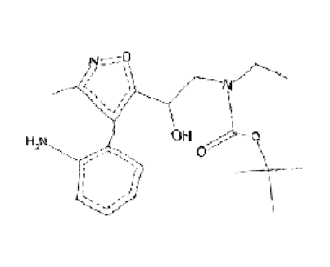 CCN(CC(O)c1onc(C)c1-c1ccccc1N)C(=O)OC(C)(C)C